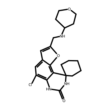 O=C1Nc2c(Cl)cc3cc(CNC4CCOCC4)oc3c2C2(CCCCC2)N1